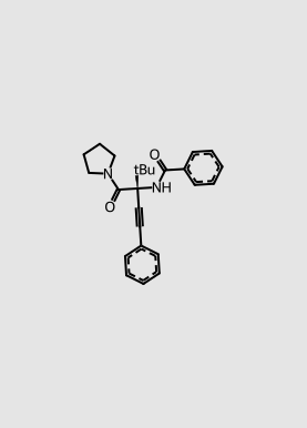 CC(C)(C)[C@](C#Cc1ccccc1)(NC(=O)c1ccccc1)C(=O)N1CCCC1